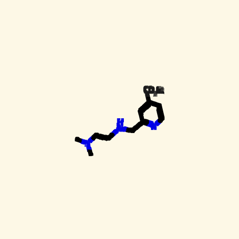 CCOC(=O)c1ccnc(CNCCN(C)C)c1